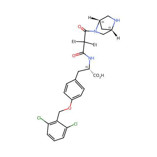 CCC(CC)(C(=O)N[C@@H](Cc1ccc(OCc2c(Cl)cccc2Cl)cc1)C(=O)O)C(=O)N1C[C@@H]2C[C@H]1CN2